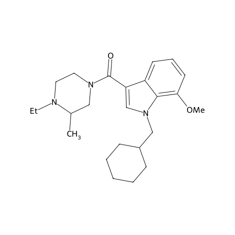 CCN1CCN(C(=O)c2cn(CC3CCCCC3)c3c(OC)cccc23)CC1C